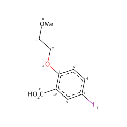 COCCOc1ccc(I)cc1C(=O)O